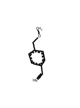 COCc1ccc(C=N)cc1